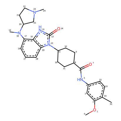 COc1cc(NC(=O)C2CCC(n3c(=O)[nH]c4c(N(C)C5CCN(C)C5)cccc43)CC2)ccc1C